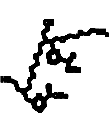 COC(=O)c1cccc(CN(CCO)CCOCCOCCN(CCO)C(COCCOCCN)c2cccc(C(=O)OC)n2)n1